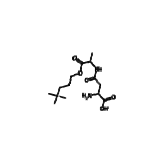 CC(NC(=O)CC(N)C(=O)O)C(=O)OCCCC(C)(C)C